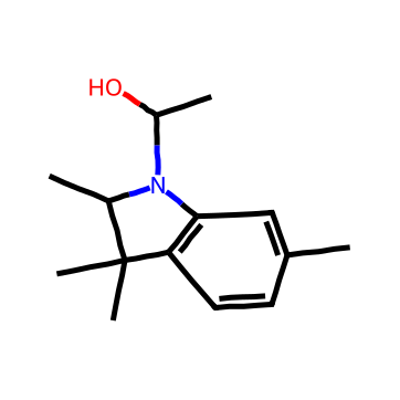 Cc1ccc2c(c1)N(C(C)O)C(C)C2(C)C